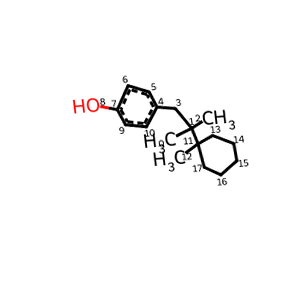 CC(C)(Cc1ccc(O)cc1)C1(C)CCCCC1